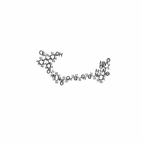 O=C1CCC(N2Cc3c(NCCOCCOCCOCCOCCC(=O)N4CCN(CCOc5ccc(C(=C(CCCl)c6ccccc6)c6ccc(O)cc6)cc5)CC4)cccc3C2=O)C(=O)N1